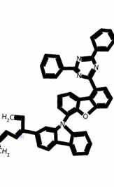 C=C/C(=C\C=C/C)c1ccc2c3ccccc3n(-c3cccc4c3oc3cccc(-c5nc(-c6ccccc6)nc(-c6ccccc6)n5)c34)c2c1